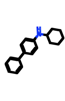 c1ccc(-c2ccc(NC3CCCCC3)cc2)cc1